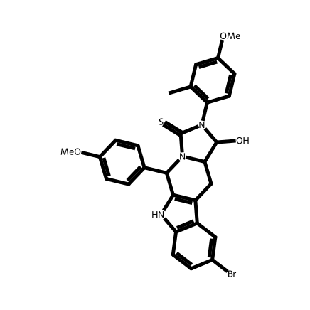 COc1ccc(C2c3[nH]c4ccc(Br)cc4c3CC3C(O)N(c4ccc(OC)cc4C)C(=S)N23)cc1